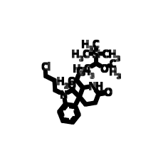 C=C(C)C1NC(=O)CCC12C(=O)N(CCCCl)c1ccccc12.COC(C)[Si](C)(C)C